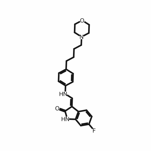 O=C1Nc2cc(F)ccc2C1=CNc1ccc(CCCCN2CCOCC2)cc1